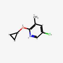 Cc1cc(Cl)cnc1OC1CC1